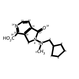 CN(CC1CCCC1)N1Cc2c(ccnc2C(=O)O)C1=O